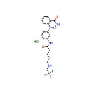 Cl.O=C(CCCCNCC(F)(F)F)Nc1cccc(-c2n[nH]c(=O)c3ccccc23)c1